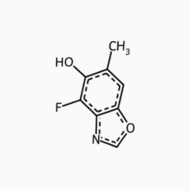 Cc1cc2ocnc2c(F)c1O